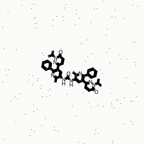 Cc1nc(-c2ccccc2)c(-c2ccc(=O)n(C(C)C)n2)cc1NC(=O)Nc1cc(-c2ccc(=O)n(C(C)C)n2)c(-c2ccccc2)nc1C